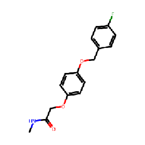 CNC(=O)COc1ccc(OCc2ccc(F)cc2)cc1